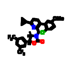 COc1ccc(Cl)c(-c2ccc(C3CC3)nc2CN2C(=O)O[C@H](c3cc(C(F)(F)F)cc(C(F)(F)F)c3)[C@@H]2C)c1